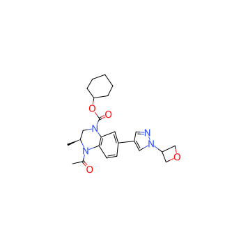 CC(=O)N1c2ccc(-c3cnn(C4COC4)c3)cc2N(C(=O)OC2CCCCC2)C[C@@H]1C